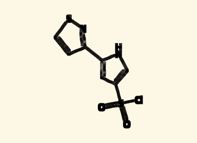 O=S(=O)(Cl)c1c[nH]c(-c2ccsn2)c1